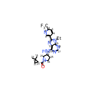 CCn1c(-c2ccc(C(F)(F)F)nc2)nc2c(N[C@H]3CCN(C(=O)[C@@H]4CC4(C)C)C3)ncnc21